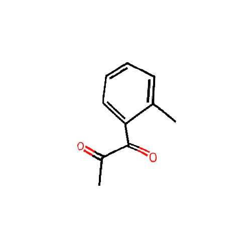 CC(=O)C(=O)c1ccccc1C